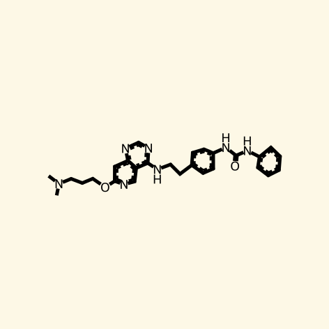 CN(C)CCCOc1cc2ncnc(NCCc3ccc(NC(=O)Nc4ccccc4)cc3)c2cn1